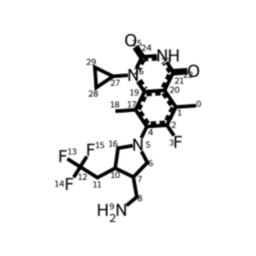 Cc1c(F)c(N2CC(CN)C(CC(F)(F)F)C2)c(C)c2c1c(=O)[nH]c(=O)n2C1CC1